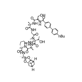 CCCCc1ccc(-c2ccc(C(=O)N[C@H](CO)C(=O)N[C@H](C)C(=O)NCC(=O)N(C)[C@H](C(=O)N[C@@H](C)C(=O)N[C@@H](CCCCN)C(=O)N[C@@H](C)B3OC4C[C@@H]5C[C@@H](C5(C)C)[C@]4(C)O3)C(C)O)cc2)cc1